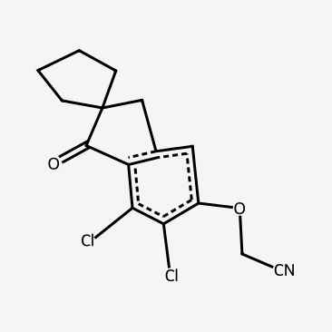 N#CCOc1cc2c(c(Cl)c1Cl)C(=O)C1(CCCC1)C2